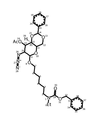 CCN(CCCCCCOC1OC2COC(c3ccccc3)O[C@@H]2C(OC(C)=O)C1N=[N+]=[N-])C(=O)OCc1ccccc1